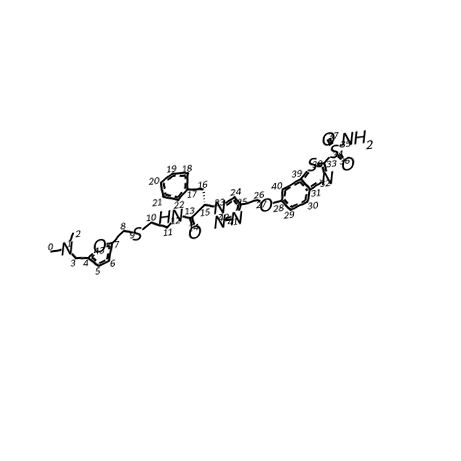 CN(C)Cc1ccc(CSCCNC(=O)[C@H](Cc2ccccc2)n2cc(COc3ccc4nc(S(N)(=O)=O)sc4c3)nn2)o1